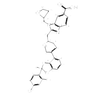 C[C@]1(c2ccc(Cl)cc2F)Oc2cccc(C3=CC[C@H](Cc4nc5ccc(C(=O)O)cc5n4C[C@@H]4CCO4)OC3)c2O1